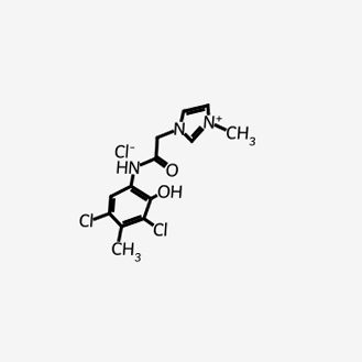 Cc1c(Cl)cc(NC(=O)Cn2cc[n+](C)c2)c(O)c1Cl.[Cl-]